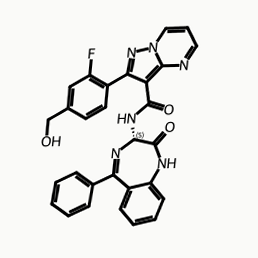 O=C(N[C@H]1N=C(c2ccccc2)c2ccccc2NC1=O)c1c(-c2ccc(CO)cc2F)nn2cccnc12